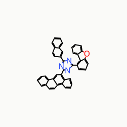 c1ccc2cc(-c3nc(-c4cc5c6ccccc6ccc5c5ccccc45)nc(-c4cccc5oc6ccccc6c45)n3)ccc2c1